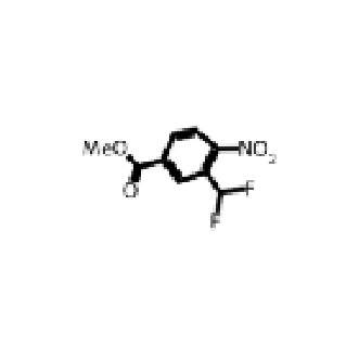 COC(=O)c1ccc([N+](=O)[O-])c(C(F)F)c1